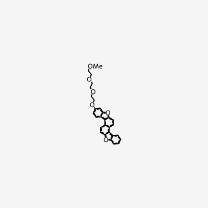 COCCOCCOCCOc1ccc2c(c1)oc1ccc3c(ccc4oc5ccccc5c43)c12